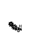 CNC(=O)OC(C)c1nnc(-c2ccccn2)nn1